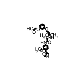 COc1cc(NC(=O)C(=O)NC(C)(C)CCOc2cccc(OCC(=O)O)c2)ccc1-c1cnco1